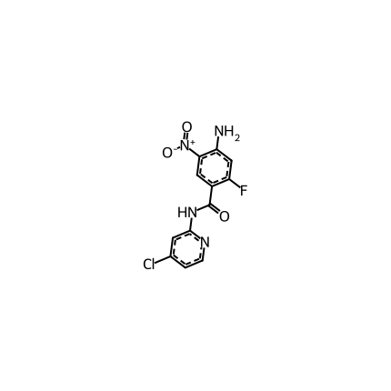 Nc1cc(F)c(C(=O)Nc2cc(Cl)ccn2)cc1[N+](=O)[O-]